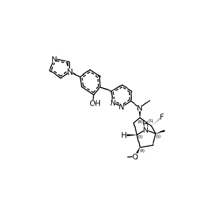 CO[C@@H]1C[C@]2(C)N[C@H]1C[C@@H](N(C)c1ccc(-c3ccc(-n4ccnc4)cc3O)nn1)[C@@H]2F